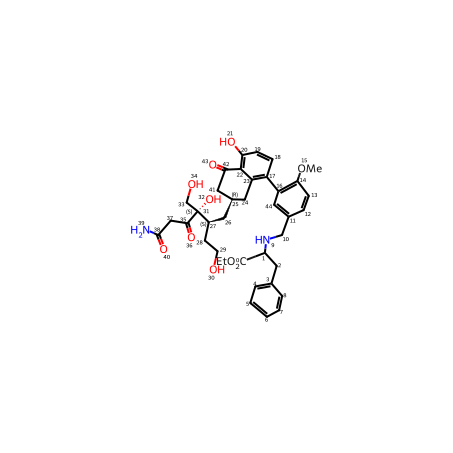 CCOC(=O)C(Cc1ccccc1)NCc1ccc(OC)c(-c2ccc(O)c3c2C[C@@H](C[C@@H](CCO)[C@](O)(CO)C(=O)CC(N)=O)CC3=O)c1